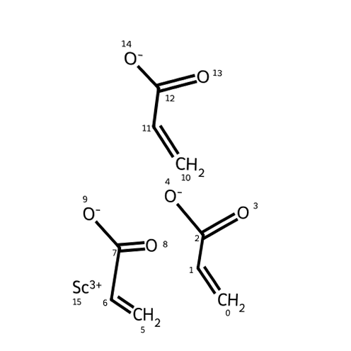 C=CC(=O)[O-].C=CC(=O)[O-].C=CC(=O)[O-].[Sc+3]